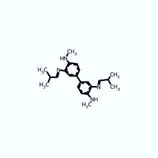 CNc1ccc(-c2ccc(NC)c(N=CC(C)C)c2)cc1N=CC(C)C